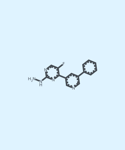 NNc1ncc(F)c(-c2cncc(-c3ccccc3)c2)n1